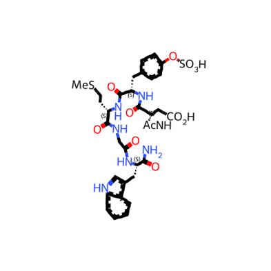 CSCC[C@H](NC(=O)[C@H](Cc1ccc(OS(=O)(=O)O)cc1)NC(=O)[C@H](CC(=O)O)NC(C)=O)C(=O)NCC(=O)N[C@@H](Cc1c[nH]c2ccccc12)C(N)=O